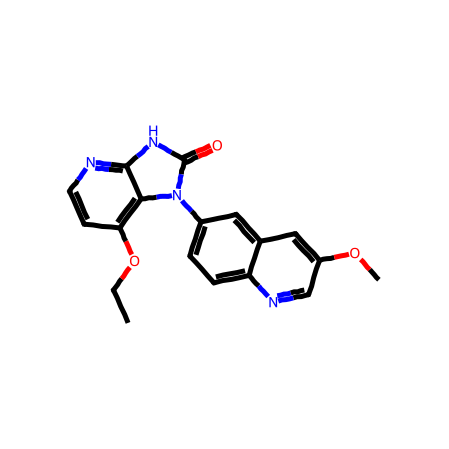 CCOc1ccnc2[nH]c(=O)n(-c3ccc4ncc(OC)cc4c3)c12